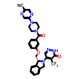 N#Cc1cnc(N2CCN(C(=O)c3cccc(OC[C@H]4c5ccccc5CN4c4cn[nH]c(=O)c4C(F)(F)F)c3)CC2)cn1